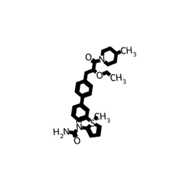 CCOC(Cc1ccc(-c2cccc(S3(C)C=CC=C3NC(N)=O)c2)cc1)C(=O)N1CCC(C)CC1